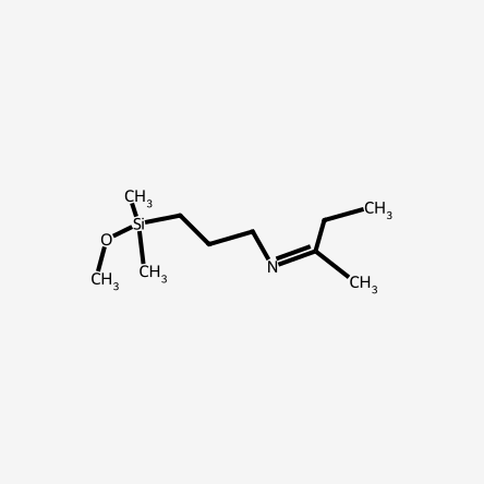 CC/C(C)=N\CCC[Si](C)(C)OC